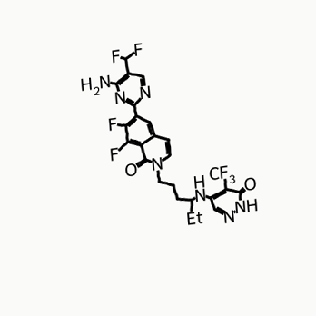 CCC(CCCn1ccc2cc(-c3ncc(C(F)F)c(N)n3)c(F)c(F)c2c1=O)Nc1cn[nH]c(=O)c1C(F)(F)F